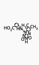 Cc1cc2nc3c(=O)[nH]c(=O)nc-3n(CCNCc3cccc(C(=O)O)c3)c2cc1C